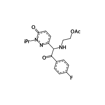 CC(=O)OCCNC(C(=O)c1ccc(F)cc1)c1ccc(=O)n(C(C)C)n1